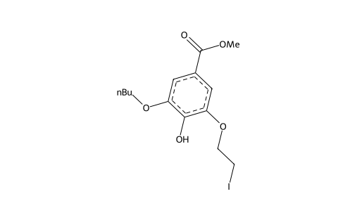 CCCCOc1cc(C(=O)OC)cc(OCCI)c1O